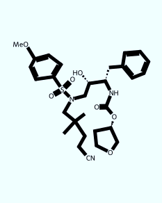 COc1ccc(S(=O)(=O)N(C[C@H](O)[C@H](Cc2ccccc2)NC(=O)O[C@H]2CCOC2)CC(C)(C)CCC#N)cc1